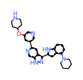 c1cc(N2CCCCC2)c2cc(-c3n[nH]c4cnc(-c5cncc(OC6CCNCC6)c5)cc34)[nH]c2c1